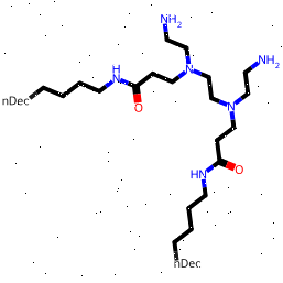 CCCCCCCCCCCCCCNC(=O)CCN(CCN)CCN(CCN)CCC(=O)NCCCCCCCCCCCCCC